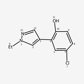 CCn1cc(-c2cc(Cl)ccc2O)cn1